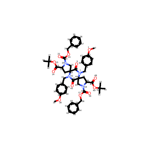 COc1ccc(CN2C(=O)C3(CC(C(=O)OC(C)(C)C)N(C(=O)OCc4ccccc4)C3)N(Cc3ccc(OC)cc3)C(=O)C23CC(C(=O)OC(C)(C)C)N(C(=O)OCc2ccccc2)C3)cc1